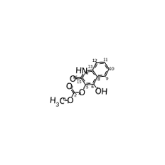 COC(=O)Oc1c(O)c2ccccc2[nH]c1=O